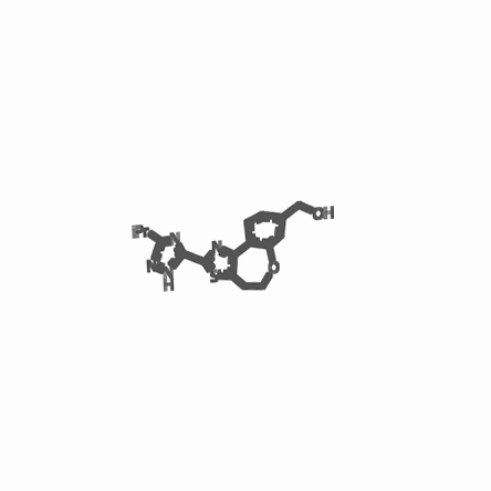 CC(C)c1n[nH]c(-c2nc3c(s2)CCOc2cc(CO)ccc2-3)n1